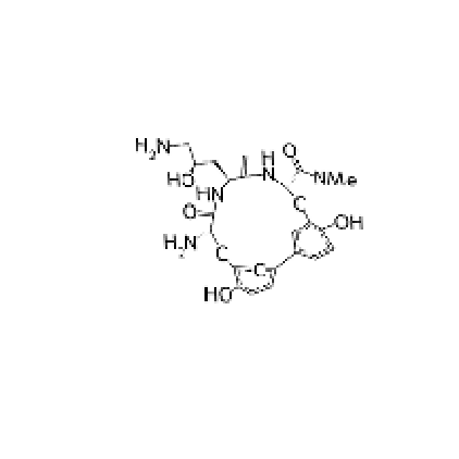 C=C1N[C@H](C(=O)NC)Cc2cc(ccc2O)-c2ccc(O)c(c2)C[C@H](N)C(=O)N[C@H]1C[C@@H](O)CN